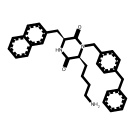 NCCCC[C@H]1C(=O)N[C@@H](Cc2ccc3ccccc3c2)C(=O)N1Cc1ccc(Cc2ccccc2)cc1